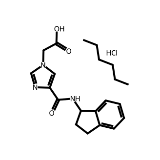 CCCCCC.Cl.O=C(O)Cn1cnc(C(=O)NC2CCc3ccccc32)c1